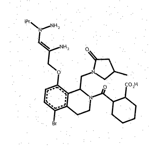 CC1CC(=O)N(CC2c3c(OC/C(N)=C/N(N)C(C)C)ccc(Br)c3CCN2C(=O)C2CCCCC2C(=O)O)C1